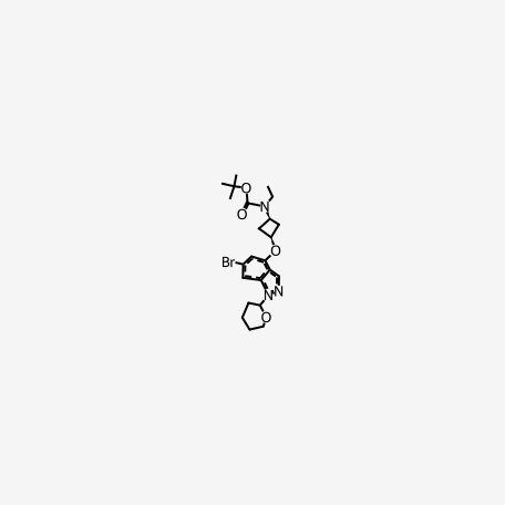 CCN(C(=O)OC(C)(C)C)[C@H]1C[C@@H](Oc2cc(Br)cc3c2cnn3C2CCCCO2)C1